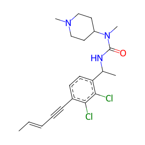 C/C=C/C#Cc1ccc(C(C)NC(=O)N(C)C2CCN(C)CC2)c(Cl)c1Cl